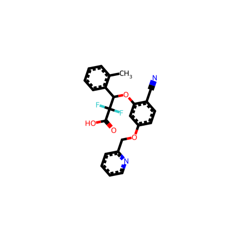 Cc1ccccc1C(Oc1cc(OCc2ccccn2)ccc1C#N)C(F)(F)C(=O)O